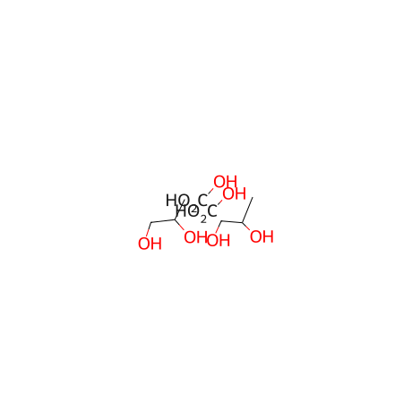 CC(O)CO.CC(O)CO.O=C(O)O.O=C(O)O